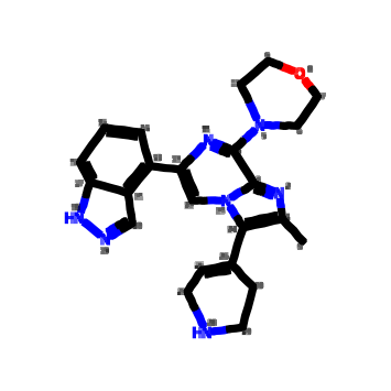 Cc1nc2c(N3CCOCC3)nc(-c3cccc4[nH]ncc34)cn2c1C1=CCNCC1